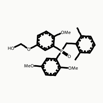 COc1ccc(OC)c(P(=O)(Cc2c(C)cccc2C)c2cc(OCO)ccc2OC)c1